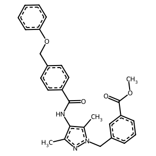 COC(=O)c1cccc(Cn2nc(C)c(NC(=O)c3ccc(COc4ccccc4)cc3)c2C)c1